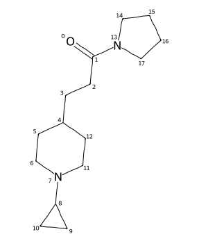 O=C(CCC1CCN(C2CC2)CC1)N1CCCC1